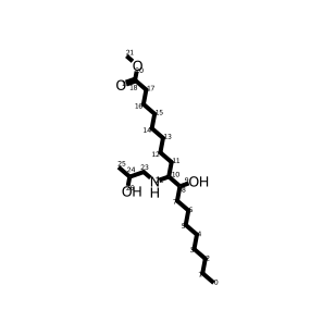 CCCCCCCCC(O)C(CCCCCCCC(=O)OC)NCC(C)O